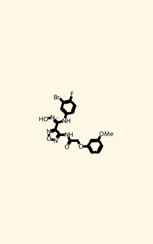 COc1cccc(OCC(=O)Nc2nonc2/C(=N\O)Nc2ccc(F)c(Br)c2)c1